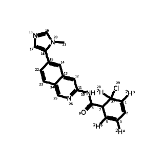 [2H]C1=CC([2H])=C([2H])C(C(=O)Nc2cc3cc(-c4cncn4C)ccc3cn2)C1([2H])Cl